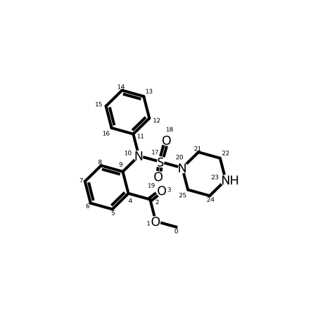 COC(=O)c1ccccc1N(c1ccccc1)S(=O)(=O)N1CCNCC1